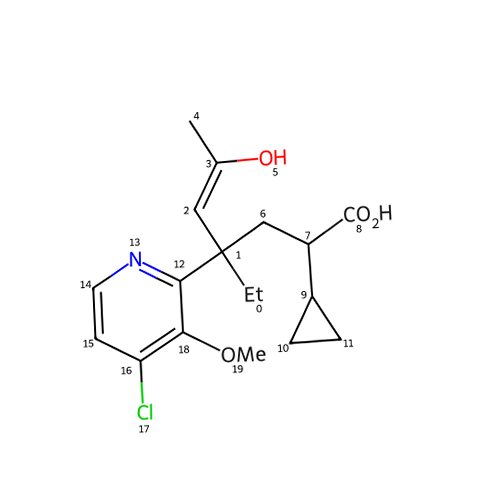 CCC(C=C(C)O)(CC(C(=O)O)C1CC1)c1nccc(Cl)c1OC